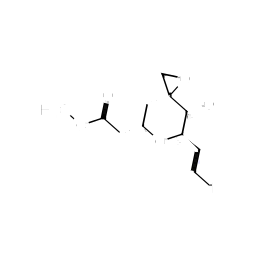 COC(=O)C[C@@H]1C[C@@]2(CO2)[C@H](O)[C@@H](/C=C/I)O1